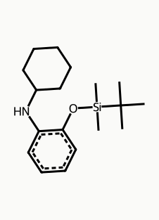 CC(C)(C)[Si](C)(C)Oc1ccccc1NC1CCCCC1